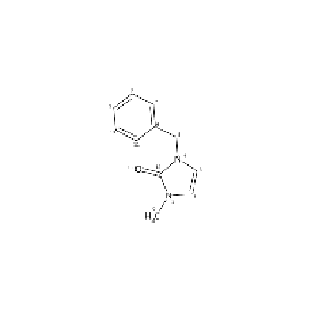 Cn1ccn(Cc2ccccc2)c1=O